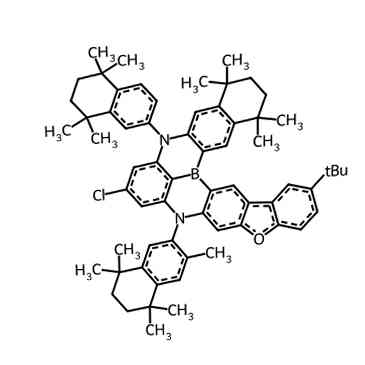 Cc1cc2c(cc1N1c3cc4oc5ccc(C(C)(C)C)cc5c4cc3B3c4cc5c(cc4N(c4ccc6c(c4)C(C)(C)CCC6(C)C)c4cc(Cl)cc1c43)C(C)(C)CCC5(C)C)C(C)(C)CCC2(C)C